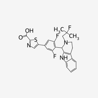 CC(C)(F)CN1CCc2c([nH]c3ccccc23)C1c1c(F)cc(-c2cnc(C(=O)O)s2)cc1F